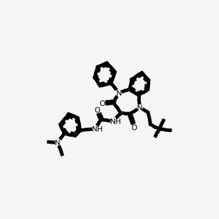 CN(C)c1cccc(NC(=O)NC2C(=O)N(CCC(C)(C)C)c3ccccc3N(c3ccccc3)C2=O)c1